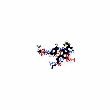 CCCNC(=O)c1ccc(-c2cc3c(cc2C(=O)Nc2c(C)cc(CNC(=O)OC(C)(C)C)cc2C)-c2sccc2CCN3)c(C(=O)O)n1